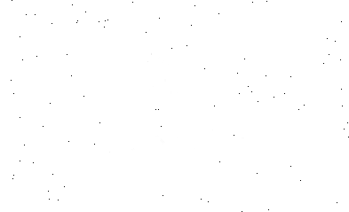 C=CC(=O)OCc1cc(CO)ccc1-c1ccc(CCC)cc1